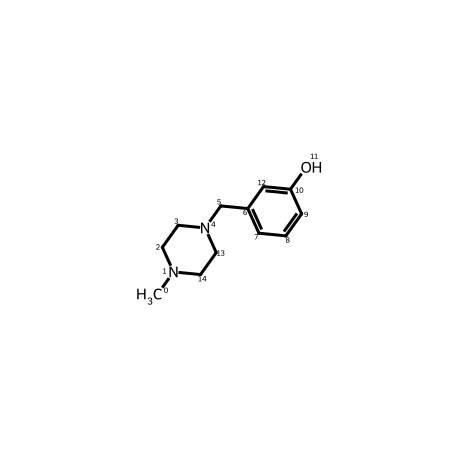 CN1CCN(Cc2cccc(O)c2)CC1